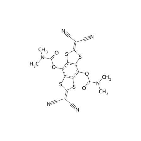 CN(C)C(=O)Oc1c2c(c(OC(=O)N(C)C)c3c1SC(=C(C#N)C#N)S3)SC(=C(C#N)C#N)S2